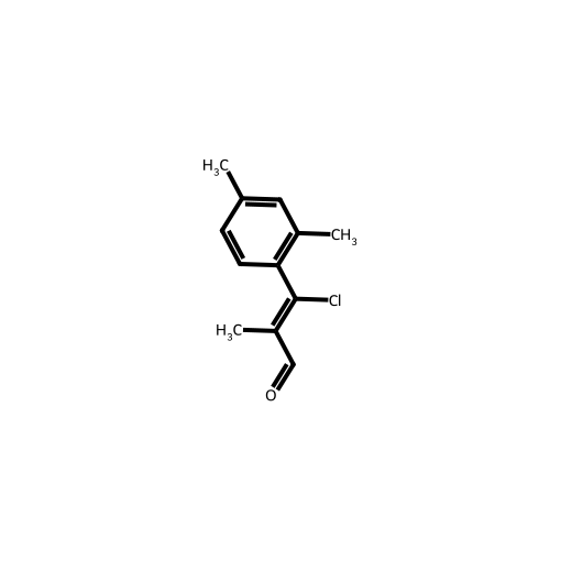 C/C(C=O)=C(/Cl)c1ccc(C)cc1C